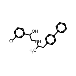 CC(Cc1ccc(-c2ccccc2)cc1)NCC(O)c1cccc(Cl)c1